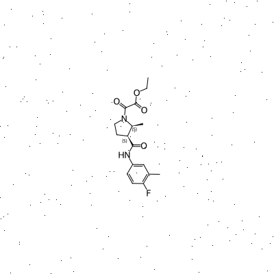 CCOC(=O)C(=O)N1CC[C@H](C(=O)Nc2ccc(F)c(C)c2)[C@@H]1C